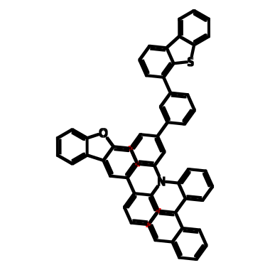 c1cc(-c2cccc(N(c3ccccc3-c3ccc4oc5ccccc5c4c3)c3ccccc3-c3cccc4ccccc34)c2)cc(-c2cccc3c2sc2ccccc23)c1